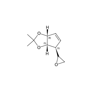 CC1(C)O[C@@H]2[C@@H](C=C[C@H]2C2CO2)O1